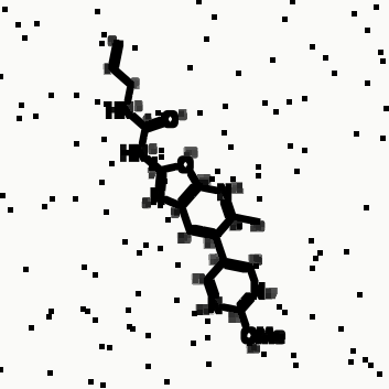 C=CCNC(=O)Nc1nc2cc(-c3cnc(OC)nc3)c(C)nc2o1